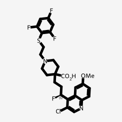 COc1ccc2ncc(Cl)c([C@@H](F)CCC3(C(=O)O)CCN(CCSc4c(F)cc(F)cc4F)CC3)c2c1